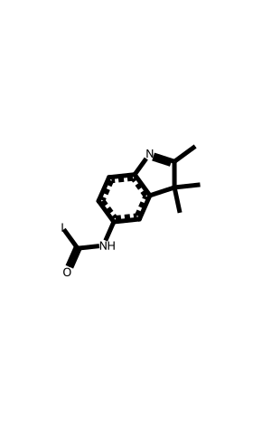 CC1=Nc2ccc(NC(=O)I)cc2C1(C)C